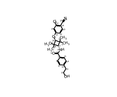 CC1(C)[C@H](NC(=O)c2ccc(CCO)cc2)C(C)(C)[C@H]1Oc1ccc(C#N)c(Cl)c1